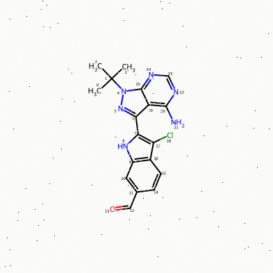 CC(C)(C)n1nc(-c2[nH]c3cc(C=O)ccc3c2Cl)c2c(N)ncnc21